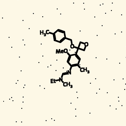 CCN(C)C=Nc1cc(OC)c(C2(OCc3ccc(C)cc3)COC2)cc1C